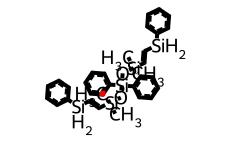 C[Si](C)(C=C[SiH2]c1ccccc1)O[Si](O[Si](C)(C)C=C[SiH2]c1ccccc1)(c1ccccc1)c1ccccc1